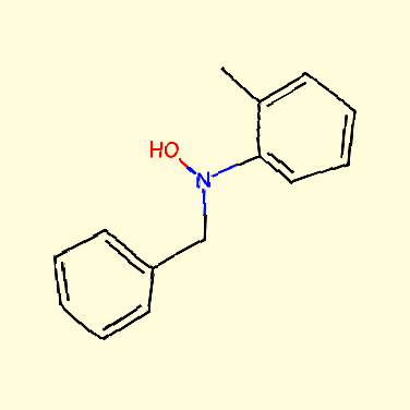 Cc1ccccc1N(O)Cc1ccccc1